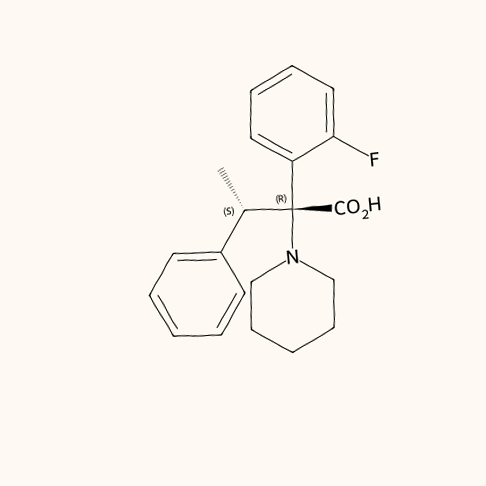 C[C@@H](c1ccccc1)[C@](C(=O)O)(c1ccccc1F)N1CCCCC1